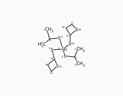 CC(C)[S][Sn]([S]C(C)C)([S]C1CCS1)[S]C1CCS1